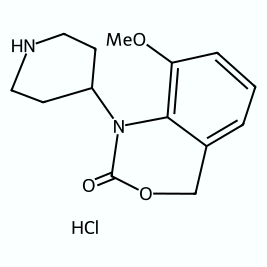 COc1cccc2c1N(C1CCNCC1)C(=O)OC2.Cl